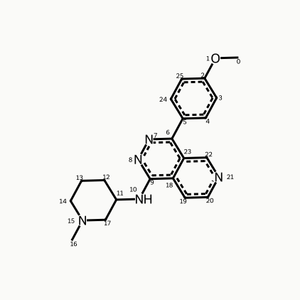 COc1ccc(-c2nnc(NC3CCCN(C)C3)c3ccncc23)cc1